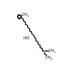 CCCN(CCC)CCCCCCCCCCCCCCCCCCCCc1ccccc1C.Cl